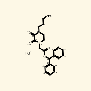 Cl.NCCCN1CCN(CC(=O)OC(c2ccccc2)c2ccccc2)C(=O)C1=O